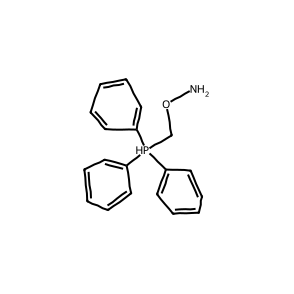 NOC[PH](c1ccccc1)(c1ccccc1)c1ccccc1